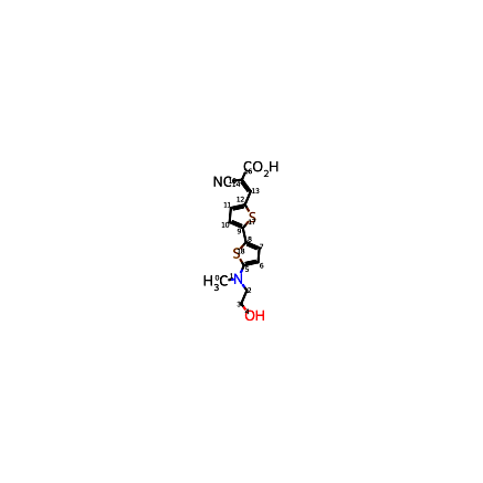 CN(CCO)c1ccc(-c2ccc(/C=C(\C#N)C(=O)O)s2)s1